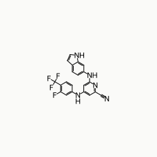 N#Cc1cc(Nc2ccc(C(F)(F)F)c(F)c2)cc(Nc2ccc3cc[nH]c3c2)n1